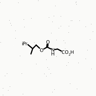 CC(C)C(C)COC(=O)NCC(=O)O